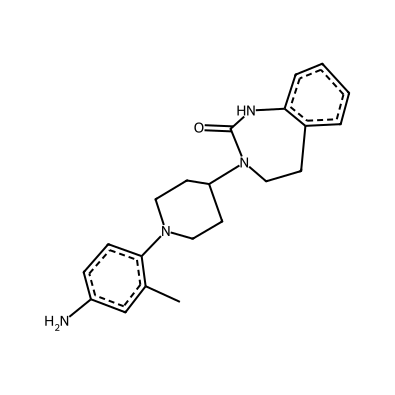 Cc1cc(N)ccc1N1CCC(N2CCc3ccccc3NC2=O)CC1